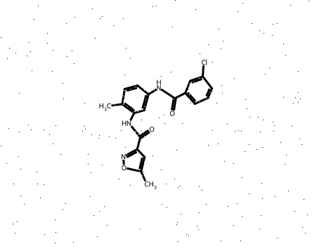 Cc1cc(C(=O)Nc2cc(NC(=O)c3cccc(Cl)c3)ccc2C)no1